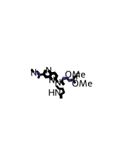 C=C1CCC(CN(C(=C)/C=C(\C=C(/CF)OC)OC)c2ccc3ncc(/C(C)=C/N(C)C)cc3n2)N1